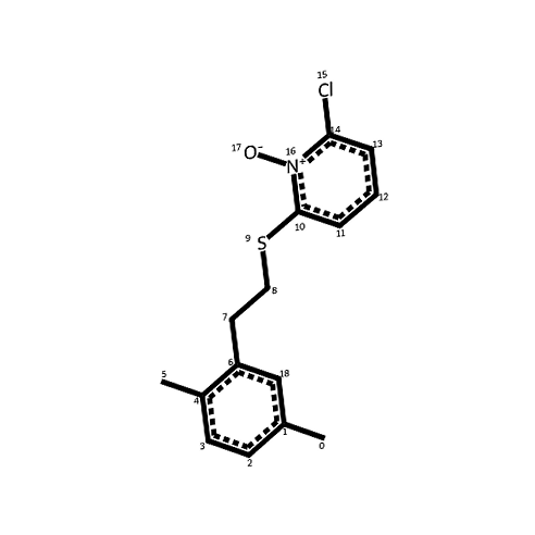 Cc1ccc(C)c(CCSc2cccc(Cl)[n+]2[O-])c1